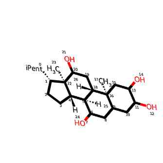 CCCC(C)[C@H]1CC[C@H]2[C@@H]3C(O)CC4CC(O)C(O)C[C@]4(C)[C@H]3CC(O)[C@]12C